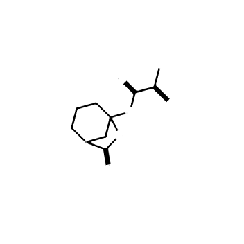 C=C(C)C(=O)OC12CCCC(C1)C(=O)O2